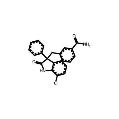 NC(=O)c1cccc(CC2(c3ccccc3)C(=O)Nc3c(Cl)cccc32)c1